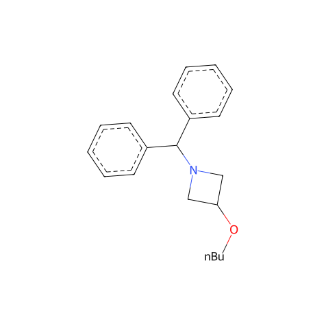 CCCCOC1CN(C(c2ccccc2)c2ccccc2)C1